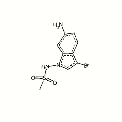 CS(=O)(=O)Nn1cc(Br)c2ccc(N)cc21